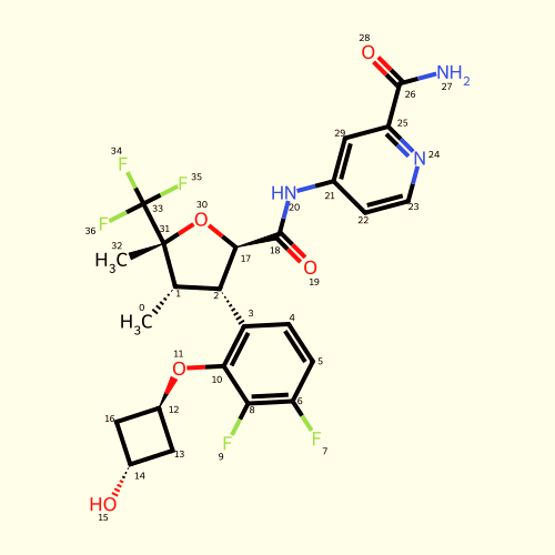 C[C@H]1[C@@H](c2ccc(F)c(F)c2O[C@H]2C[C@H](O)C2)[C@H](C(=O)Nc2ccnc(C(N)=O)c2)O[C@@]1(C)C(F)(F)F